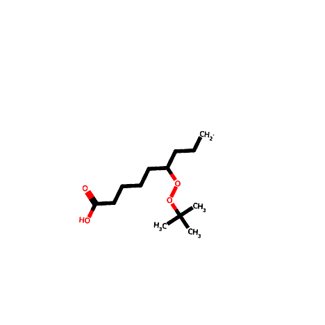 [CH2]CCC(CCCCC(=O)O)OOC(C)(C)C